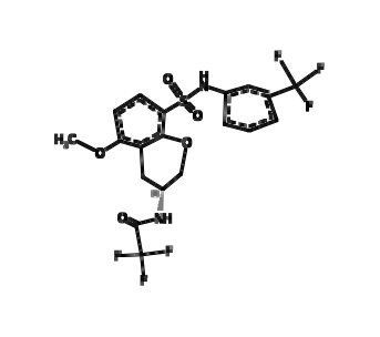 COc1ccc(S(=O)(=O)Nc2cccc(C(F)(F)F)c2)c2c1C[C@@H](NC(=O)C(F)(F)F)CO2